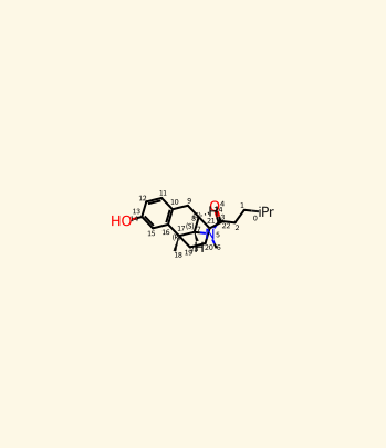 CC(C)CCC(=O)N(C)[C@H]1[C@H]2Cc3ccc(O)cc3[C@@]1(C)CCC2C